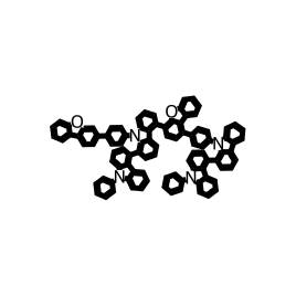 c1ccc(-n2c3ccccc3c3c(-c4cccc5c6ccccc6n(-c6ccc(-c7ccc(-c8cccc9c8c8cccc(-c%10cccc%11c%10c%10ccccc%10n%11-c%10ccccc%10)c8n9-c8ccc(-c9ccc%10c(c9)oc9ccccc9%10)cc8)c8oc9ccccc9c78)cc6)c45)cccc32)cc1